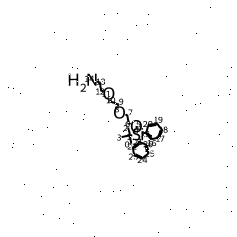 CC(C)(C)[Si](OCCOCCOCCN)(c1ccccc1)c1ccccc1